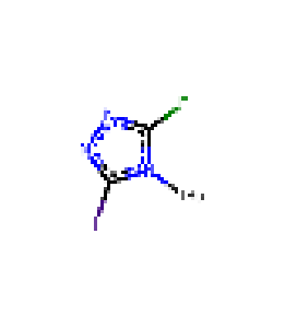 CC(C)(C)n1c(F)nnc1I